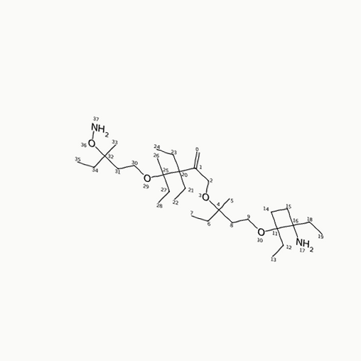 C=C(COC(C)(CC)CCOC1(CC)CCC1(N)CC)C(CC)(CC)C(C)(CC)OCCC(C)(CC)ON